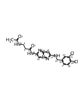 CC(=O)NCCC(=O)Nc1cn2nc(NCc3ccc(Cl)c(Cl)c3)sc2n1